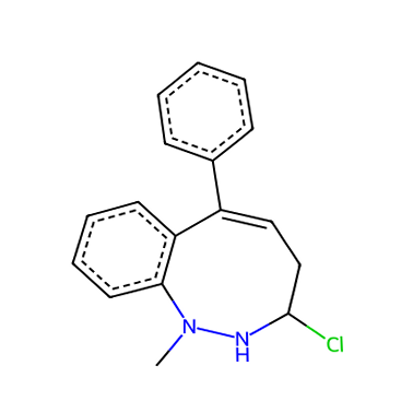 CN1NC(Cl)CC=C(c2ccccc2)c2ccccc21